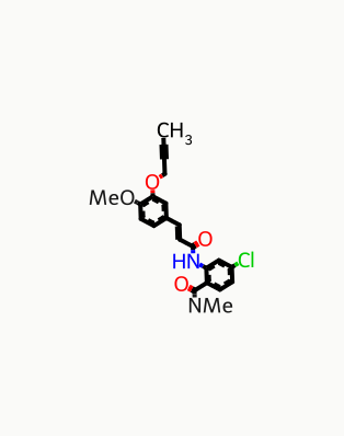 CC#CCOc1cc(C=CC(=O)Nc2cc(Cl)ccc2C(=O)NC)ccc1OC